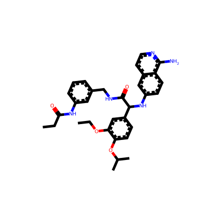 CCOc1cc(C(Nc2ccc3c(N)nccc3c2)C(=O)NCc2cccc(NC(=O)CC)c2)ccc1OC(C)C